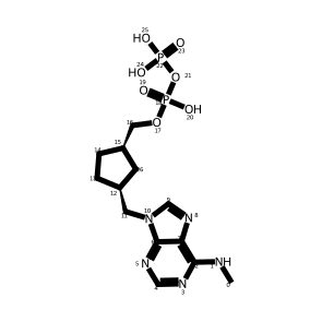 CNc1ncnc2c1ncn2C[C@H]1CC[C@@H](COP(=O)(O)OP(=O)(O)O)C1